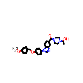 CC(O)N1CCN(C(=O)c2ccc3c(c2)ncn3-c2ccc(OCc3ccc(OC(F)(F)F)cc3)cc2)CC1